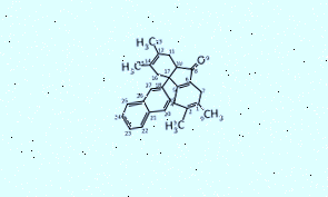 CC1=C(C)CC2=C(C1)C(=O)C1CC(C)=C(C)CC21c1ccc2ccccc2c1